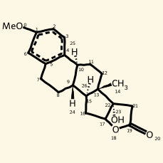 COc1ccc2c(c1)CC[C@@H]1[C@@H]2CC[C@@]2(C)[C@H]1CC1OC(=O)C[C@@]12O